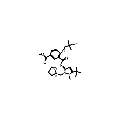 COC(=O)c1ccc(OCC(C)(C)O)c(C(=O)N=c2cc(C(C)(C)C)n(C)n2C[C@H]2CCCO2)c1